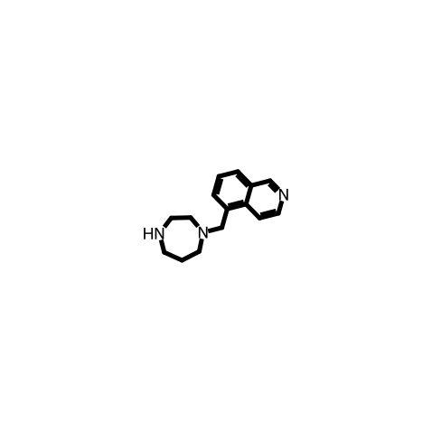 c1cc(CN2CCCNCC2)c2ccncc2c1